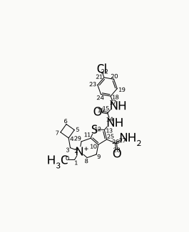 CC[N+]1(CC2CCC2)CCc2c(sc(NC(=O)Nc3ccc(Cl)cc3)c2C(N)=O)C1